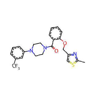 Cc1nc(COc2ccccc2C(=O)N2CCN(c3cccc(C(F)(F)F)c3)CC2)cs1